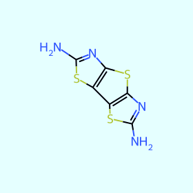 Nc1nc2sc3nc(N)sc3c2s1